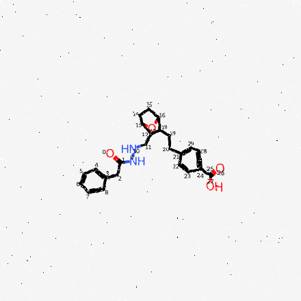 O=C(Cc1ccccc1)NNCC1C2CCC(O2)C1CCc1ccc(C(=O)O)cc1